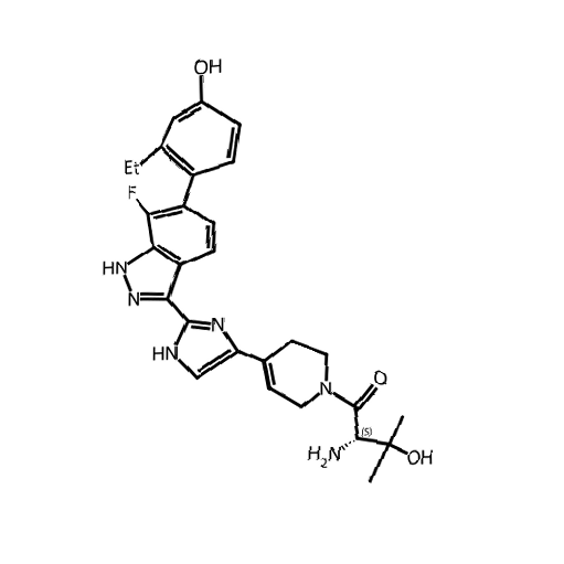 CCc1cc(O)ccc1-c1ccc2c(-c3nc(C4=CCN(C(=O)[C@@H](N)C(C)(C)O)CC4)c[nH]3)n[nH]c2c1F